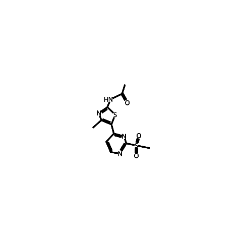 CC(=O)Nc1nc(C)c(-c2ccnc(S(C)(=O)=O)n2)s1